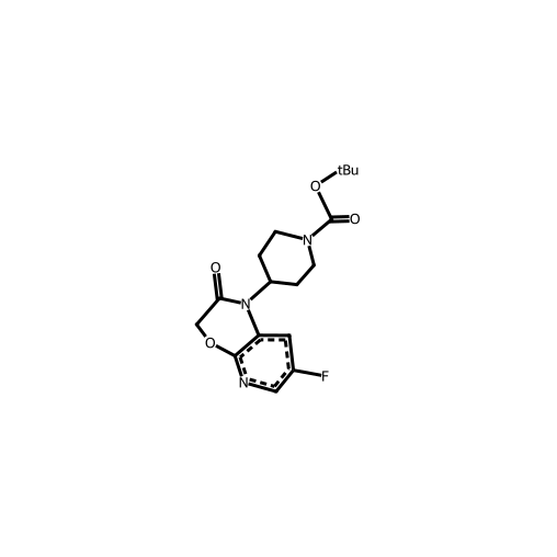 CC(C)(C)OC(=O)N1CCC(N2C(=O)COc3ncc(F)cc32)CC1